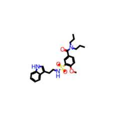 CCCN(CCC)C(=O)c1ccc(OC)c(S(=O)(=O)NCCc2c[nH]c3ccccc23)c1